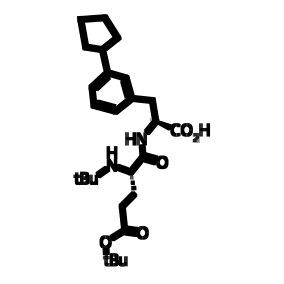 CC(C)(C)N[C@@H](CCC(=O)OC(C)(C)C)C(=O)N[C@@H](Cc1cccc(C2CCCC2)c1)C(=O)O